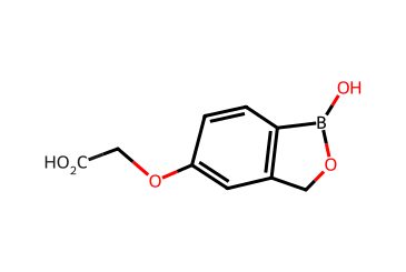 O=C(O)COc1ccc2c(c1)COB2O